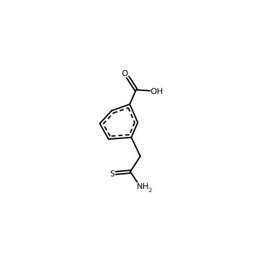 NC(=S)Cc1cccc(C(=O)O)c1